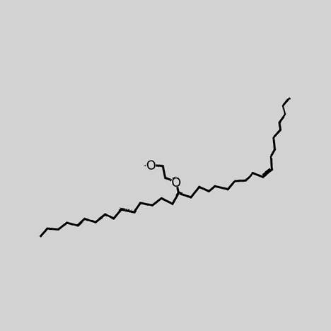 CCCCCCCC/C=C\CCCCCCCCC(CCCCCCCCCCCCCCC)OCC[O]